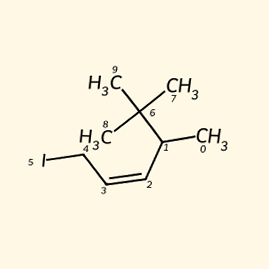 CC(/C=C\CI)C(C)(C)C